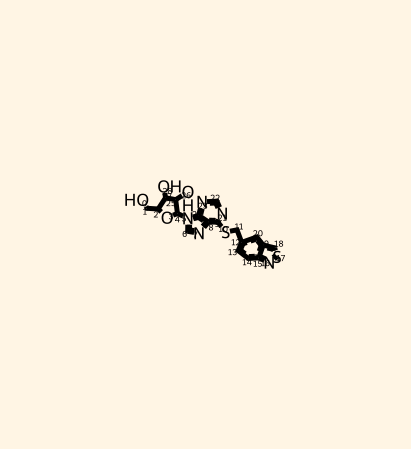 OCC1OC(n2cnc3c(SCc4ccc5nscc5c4)ncnc32)C(O)C1O